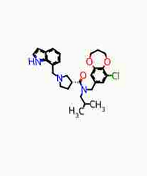 CC(C)CN(Cc1cc(Cl)c2c(c1)OCCCO2)C(=O)[C@@H]1CCN(Cc2cccc3cc[nH]c23)C1